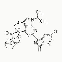 CCOC(=O)[C@@]12CC3CCC1C(C3)[C@@H]2Nc1nc(-c2n[nH]c3ncc(Cl)cc23)nc2c1ccn2C(C)C